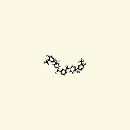 O=C(c1cccc(C(=O)N2CCC(O)(c3ccc(Cl)c(C(F)(F)F)c3)CC2)c1)N1CCC(O)(c2ccc(Cl)c(C(F)(F)F)c2)CC1